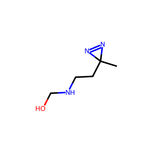 CC1(CCNCO)N=N1